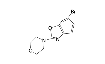 Brc1ccc2nc(N3CCOCC3)oc2c1